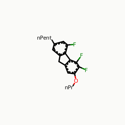 CCCCCc1cc(F)c2c(c1)Cc1cc(OCCC)c(F)c(F)c1-2